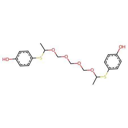 CC(OCOCOCOC(C)Sc1ccc(O)cc1)Sc1ccc(O)cc1